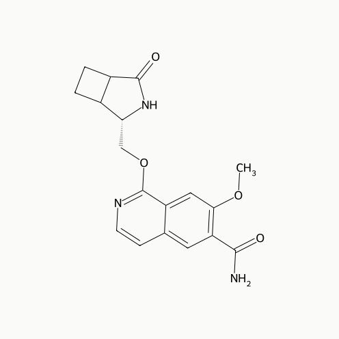 COc1cc2c(OC[C@H]3NC(=O)C4CCC43)nccc2cc1C(N)=O